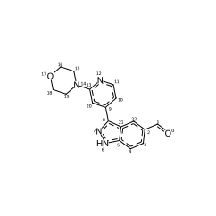 O=Cc1ccc2[nH]nc(-c3ccnc(N4CCOCC4)c3)c2c1